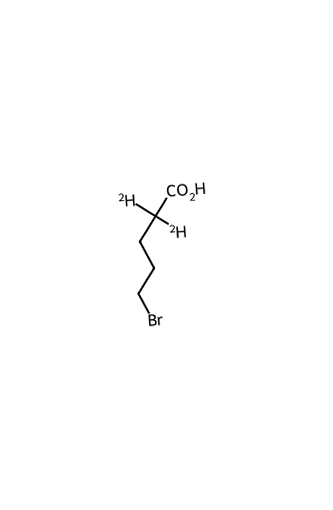 [2H]C([2H])(CCCBr)C(=O)O